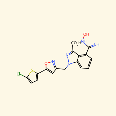 N=C(NO)c1cccc2c1c(C(=O)O)nn2Cc1cc(-c2ccc(Cl)s2)on1